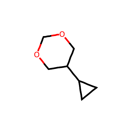 C1OCC(C2CC2)CO1